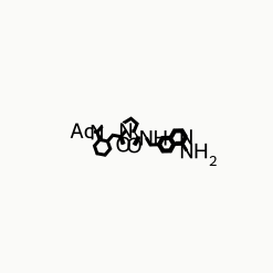 CC(=O)N(C)C1CCCCC1CC(=O)N1CCC[C@H]1C(=O)NCc1ccc2c(N)nccc2c1